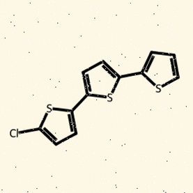 Clc1ccc(-c2ccc(-c3cccs3)s2)s1